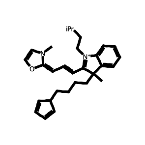 CC(C)CC[N+]1=C(/C=C/C=C2/OC=CN2C)C(C)(CCCCC2C=CC=C2)c2ccccc21